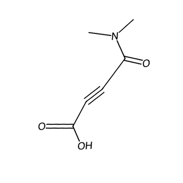 CN(C)C(=O)C#CC(=O)O